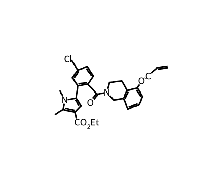 C=CCOc1cccc2c1CCN(C(=O)c1ccc(Cl)cc1-c1cc(C(=O)OCC)c(C)n1C)C2